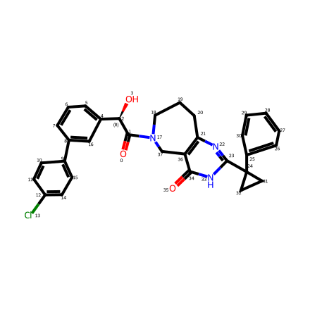 O=C([C@H](O)c1cccc(-c2ccc(Cl)cc2)c1)N1CCCc2nc(C3(c4ccccc4)CC3)[nH]c(=O)c2C1